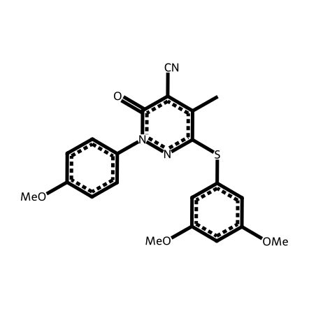 COc1ccc(-n2nc(Sc3cc(OC)cc(OC)c3)c(C)c(C#N)c2=O)cc1